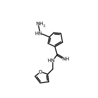 N=C(NCc1ccco1)c1cccc(NN)c1